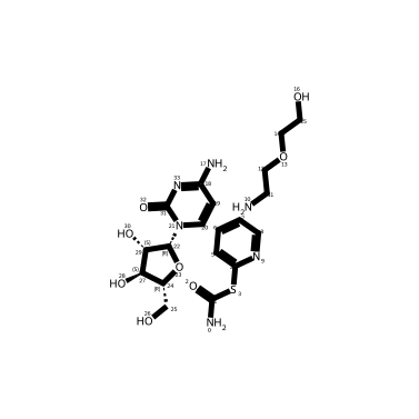 NC(=O)Sc1ccccn1.NCCOCCO.Nc1ccn([C@@H]2O[C@H](CO)[C@@H](O)[C@@H]2O)c(=O)n1